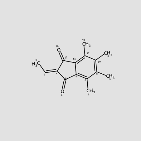 CC=C1C(=O)c2c(C)c(C)c(C)c(C)c2C1=O